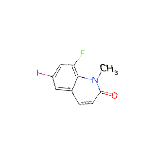 Cn1c(=O)ccc2cc(I)cc(F)c21